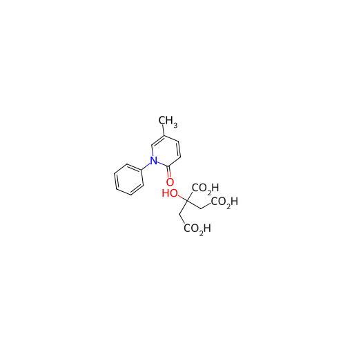 Cc1ccc(=O)n(-c2ccccc2)c1.O=C(O)CC(O)(CC(=O)O)C(=O)O